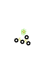 F[P-](F)(F)(F)(F)F.c1ccc(Sc2cccc([S+](c3ccccc3)c3ccccc3)c2)cc1